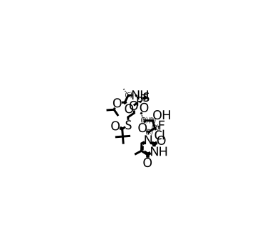 Cc1cn([C@@H]2O[C@H](COP(=S)(N[C@@H](C)C(=O)OC(C)C)OCCSC(=O)C(C)(C)C)[C@@H](O)[C@@]2(F)Cl)c(=O)[nH]c1=O